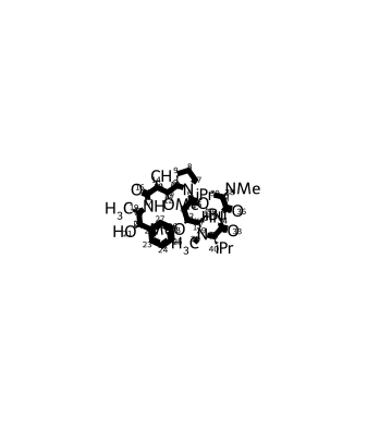 CC[C@H](C)[C@@H]([C@@H](CC(=O)N1CCC[C@H]1[C@H](OC)[C@@H](C)C(=O)N[C@H](C)[C@@H](O)c1ccccc1)OC)N(C)[C@H](C(=O)NC(=O)[C@@H](NC)C(C)C)C(C)C